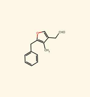 Cc1c(CC=O)coc1Cc1ccccc1